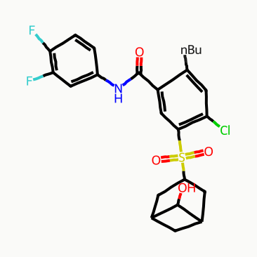 CCCCc1cc(Cl)c(S(=O)(=O)C2CC3CC(C2)C3O)cc1C(=O)Nc1ccc(F)c(F)c1